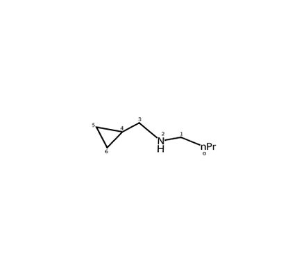 CCCCNCC1CC1